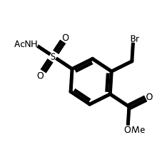 COC(=O)c1ccc(S(=O)(=O)NC(C)=O)cc1CBr